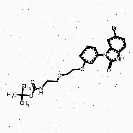 CC(C)(C)OC(=O)NCCOCCOc1cccc(-n2c(=O)[nH]c3ccc(Br)cc32)c1